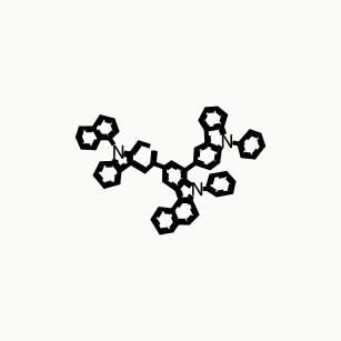 C=C(/C=c1\c(=C/C)n(-c2cccc3ccccc23)c2ccccc12)c1cc(-c2ccc3c(c2)c2ccccc2n3-c2ccccc2)c2c(c1)c1c3ccccc3ccc1n2-c1ccccc1